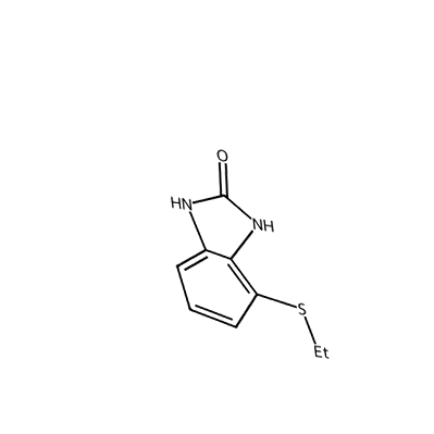 CCSc1cccc2[nH]c(=O)[nH]c12